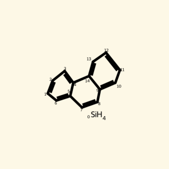 [SiH4].c1ccc2c(c1)ccc1ccccc12